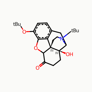 CC(C)(C)Oc1ccc2c3c1OC1C(=O)CC[C@@]4(O)C(C2)N(C(C)(C)C)CC[C@]314